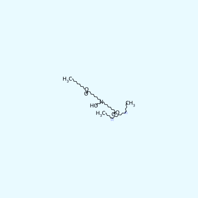 CCCC/C=C\CCC(CC/C=C\CCCC)OC(=O)CCCCCCCN(CCO)CCCCCCCC(=O)OCCCCCCCCC